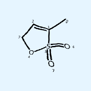 CC1=CCOS1(=O)=O